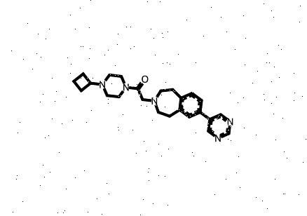 O=C(CN1CCc2ccc(-c3cncnc3)cc2CC1)N1CCN(C2CCC2)CC1